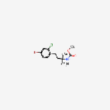 CCCCC(CCc1ccc(Br)cc1Cl)(NC(=O)OC(C)(C)C)C(=O)O